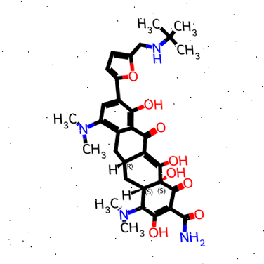 CN(C)c1cc(-c2ccc(CNC(C)(C)C)o2)c(O)c2c1C[C@H]1C[C@H]3C(N(C)C)C(O)=C(C(N)=O)C(=O)[C@@]3(O)C(O)=C1C2=O